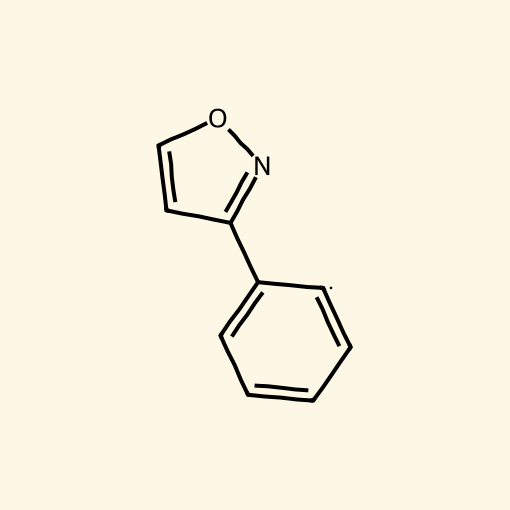 [c]1ccccc1-c1ccon1